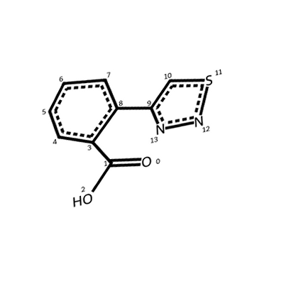 O=C(O)c1ccccc1-c1csnn1